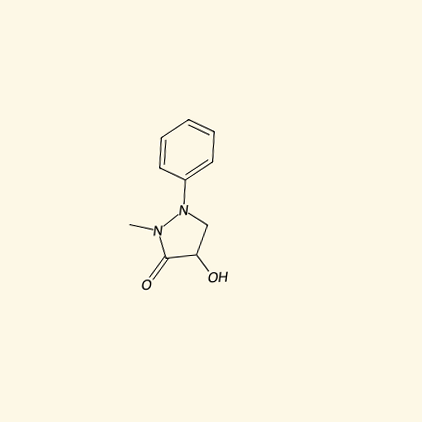 CN1C(=O)C(O)CN1c1ccccc1